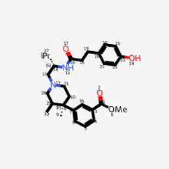 COC(=O)c1cccc([C@]2(C)CCN(C[C@@H](NC(=O)CCc3ccc(O)cc3)C(C)C)CC2C)c1